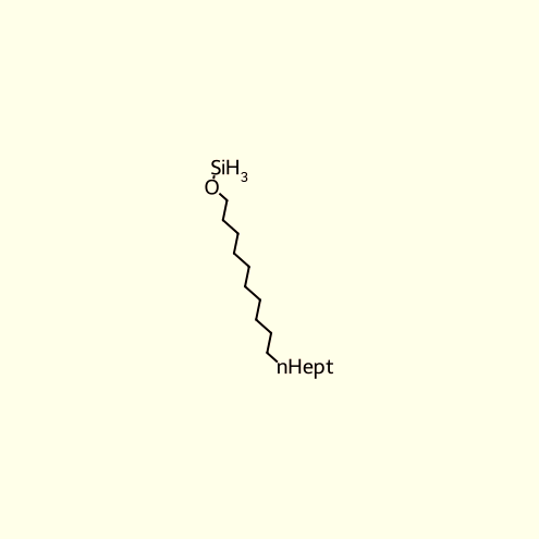 CCCCCCCCCCCCCCCCCO[SiH3]